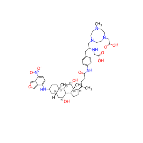 CC(CCC(=O)Nc1ccc(CC(CN2CCN(C)CCN(CC(=O)O)CC2)NCC(=O)O)cc1)[C@H]1CCC2C3C(C[C@H](O)[C@@]21C)[C@@]1(C)CCC(Nc2ccc([N+](=O)[O-])c4cocc24)C[C@H]1C[C@H]3O